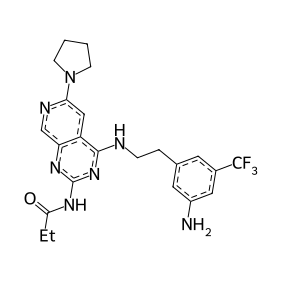 CCC(=O)Nc1nc(NCCc2cc(N)cc(C(F)(F)F)c2)c2cc(N3CCCC3)ncc2n1